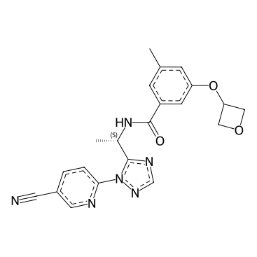 Cc1cc(OC2COC2)cc(C(=O)N[C@@H](C)c2ncnn2-c2ccc(C#N)cn2)c1